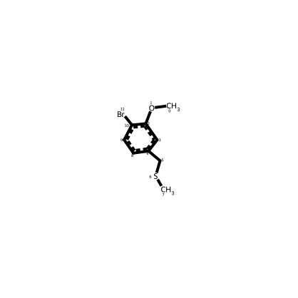 COc1cc(CSC)ccc1Br